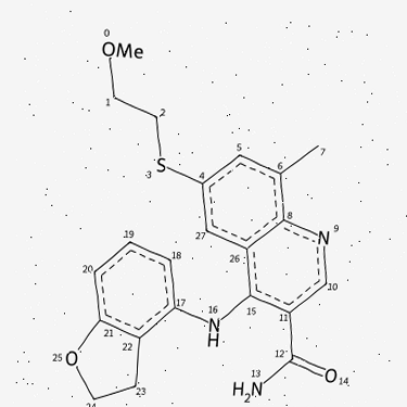 COCCSc1cc(C)c2ncc(C(N)=O)c(Nc3cccc4c3CCO4)c2c1